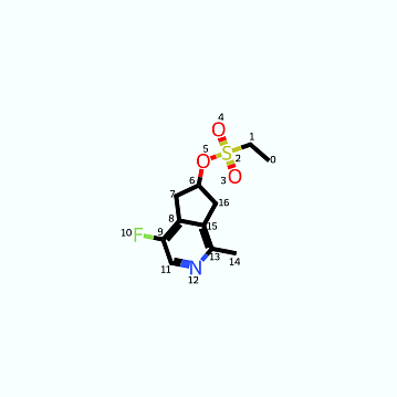 CCS(=O)(=O)OC1Cc2c(F)cnc(C)c2C1